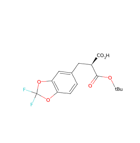 CC(C)(C)OC(=O)[C@@H](Cc1ccc2c(c1)OC(F)(F)O2)C(=O)O